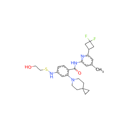 Cc1cc(NC(=O)c2ccc(NSCCO)cc2N2CCC3(CC2)CC3)nc(C2CC(F)(F)C2)c1